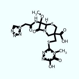 COC1(NC(=O)Cn2cnnn2)C(=O)N2CC(CSc3nnc(O)c(=O)n3C)(C(=O)O)CS[C@@H]21